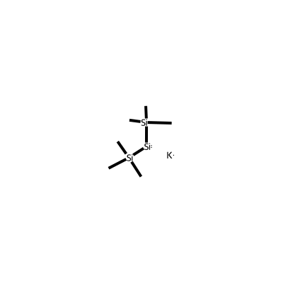 C[Si](C)(C)[Si][Si](C)(C)C.[K]